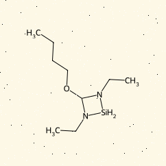 CCCCOC1N(CC)[SiH2]N1CC